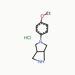 CCOc1ccc(N2CC3CNCC3C2)cc1.Cl